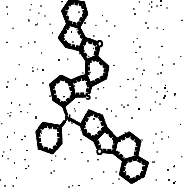 c1ccc(N(c2ccc3c(c2)oc2c4ccccc4ccc32)c2cccc3c2sc2ccc4oc5c6ccccc6ccc5c4c23)cc1